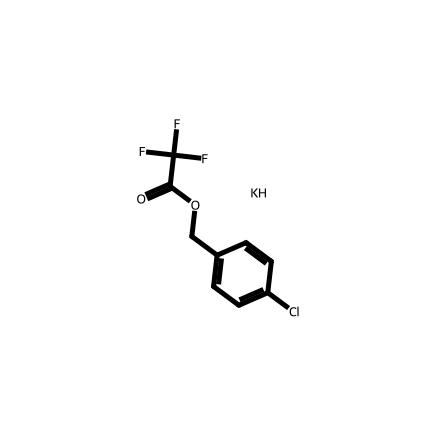 O=C(OCc1ccc(Cl)cc1)C(F)(F)F.[KH]